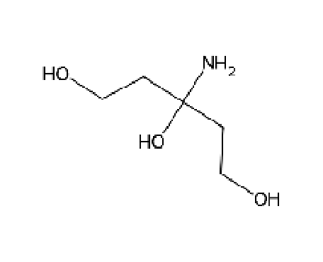 NC(O)(CCO)CCO